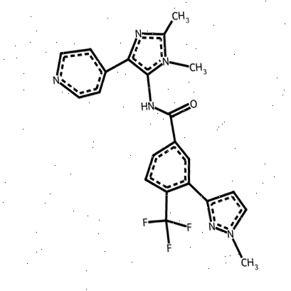 Cc1nc(-c2ccncc2)c(NC(=O)c2ccc(C(F)(F)F)c(-c3ccn(C)n3)c2)n1C